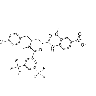 COc1cc([N+](=O)[O-])ccc1NC(=O)CCC(Cc1ccc(Cl)cc1)N(C)C(=O)c1cc(C(F)(F)F)cc(C(F)(F)F)c1